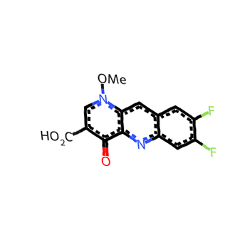 COn1cc(C(=O)O)c(=O)c2nc3cc(F)c(F)cc3cc21